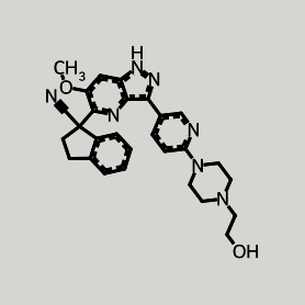 COc1cc2[nH]nc(-c3ccc(N4CCN(CCO)CC4)nc3)c2nc1C1(C#N)CCc2ccccc21